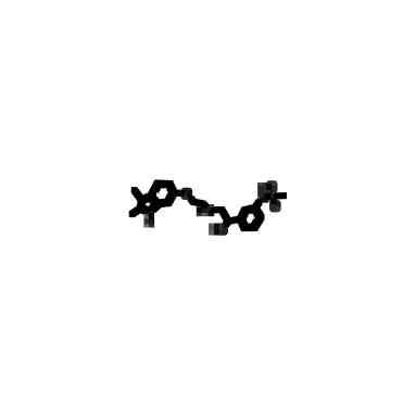 Cc1[nH]c2cc(OCCNCC(O)c3cccc(NS(C)(=O)=O)c3)ccc2c1C